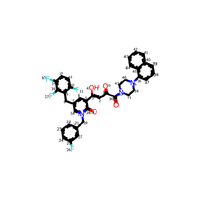 O=C(C=C(O)c1cc(Cc2c(F)ccc(F)c2F)cn(Cc2cccc(F)c2)c1=O)C(=O)N1CCN(c2cccc3ccccc23)CC1